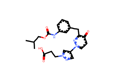 CC(C)COC(=O)Nc1cccc(Cc2nn(-c3cnn(CCC(=O)O)c3)ccc2=O)c1